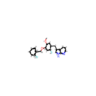 COc1cc(Cc2c[nH]c3ncccc23)c(F)cc1OCc1ccccc1F